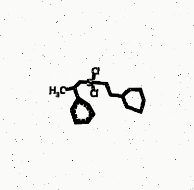 CC(C[Si](Cl)(Cl)CCC1CCCCC1)c1ccccc1